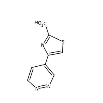 O=C(O)c1nc(-c2ccnnc2)cs1